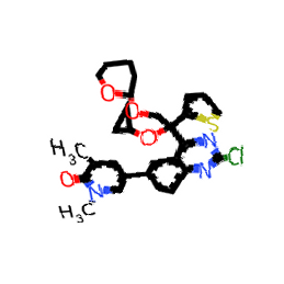 Cc1cc(-c2ccc3nc(Cl)nc(C(COC4CCCCO4)(OC4CC4)c4cccs4)c3c2)cn(C)c1=O